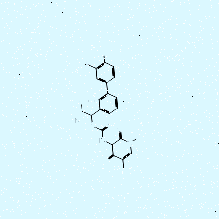 CCN1C=C(C)C(=O)C(NC(=O)NC(CC(=O)[O-])c2cccc(-c3ccc(Cl)c(Cl)c3)c2)C1=O.[Na+]